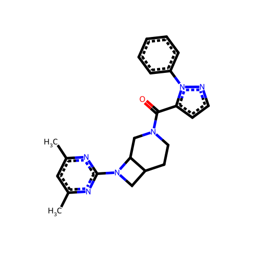 Cc1cc(C)nc(N2CC3CCN(C(=O)c4ccnn4-c4ccccc4)CC32)n1